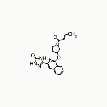 C/C=C/C(=O)N1CCC(Oc2nc(-c3n[nH]c(=O)[nH]3)cc3ccccc23)C1